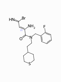 N=C(Br)/C=C(\N)C(=O)N(CCC1CCSCC1)Cc1ccccc1F